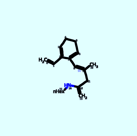 C=CC1=CCCC=C1/C=C(\C)CC(=C)NCCCCCC